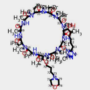 CC[C@@H]1NC(=O)[C@H]([C@H](O)[C@H](C)CCCCc2nnn(C)n2)N(C)C(=O)[C@H](C(C)C)N(C)C(=O)[C@H](CC(C)C)N(C)C(=O)[C@H](CC(C)C)N(C)C(=O)[C@@H](C)NC(=O)[C@H](C)NC(=O)[C@H](CC(C)C)N(C)C(=O)[C@H](C(C)C)NC(=O)[C@H]([C@@H](C)OCCCCN2CCOCC2)N(C)C(=O)[C@@H](C)N(C)C1=O